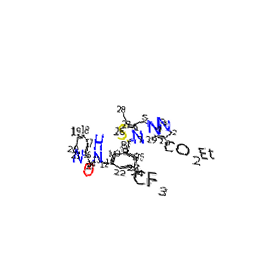 CCOC(=O)c1cnn(Cc2nc(-c3cc(CNC(=O)c4ccccn4)cc(C(F)(F)F)c3)sc2C)c1